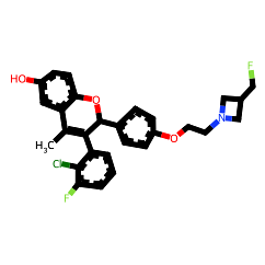 CC1=C(c2cccc(F)c2Cl)C(c2ccc(OCCN3CC(CF)C3)cc2)Oc2ccc(O)cc21